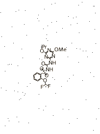 COc1nc(NC(=O)NS(=O)(=O)c2ccccc2OC(F)F)nc(OC(C)C)n1